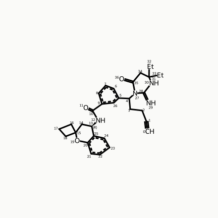 C#CCCC(c1cccc(C(=O)N[C@@H]2CC3(CCC3)Oc3ccccc32)c1)N1C(=N)NC(CC)(CC)CC1=O